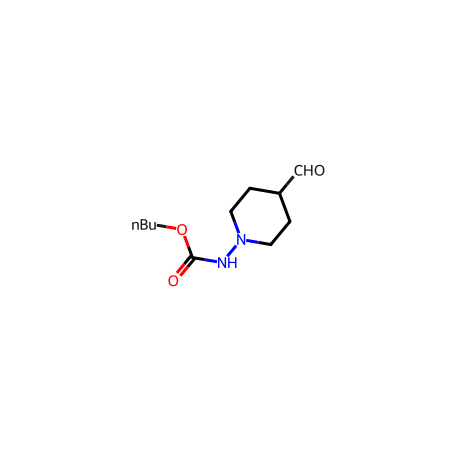 CCCCOC(=O)NN1CCC(C=O)CC1